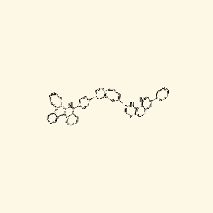 c1ccc(-c2cnc3c(ccc4ccc(-c5ccc6ccc(-c7ccc(-c8nc9c%10ccccc%10c%10ccccc%10c9c9ccccc89)cc7)cc6c5)nc43)c2)cc1